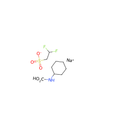 O=C(O)NC1CCCCC1.O=S(=O)([O-])CC(F)F.[Na+]